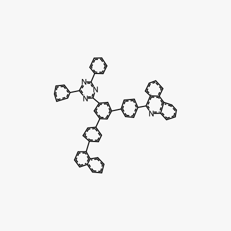 c1ccc(-c2nc(-c3ccccc3)nc(-c3cc(-c4ccc(-c5cccc6ccccc56)cc4)cc(-c4ccc(-c5nc6ccccc6c6ccccc56)cc4)c3)n2)cc1